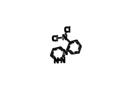 ClN(Cl)c1ccccc1.c1cnnnc1